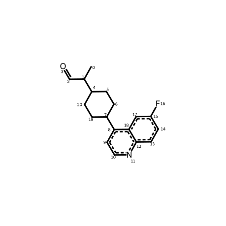 CC(C=O)C1CCC(c2ccnc3ccc(F)cc23)CC1